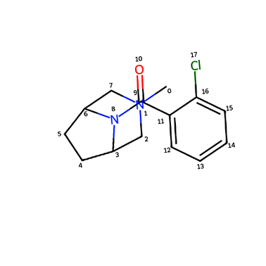 CN1CC2CCC(C1)N2C(=O)c1ccccc1Cl